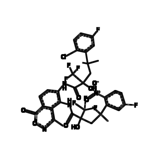 Cc1noc(=O)c2ccc(NC(=O)C(O)(CC(C)(C)c3cc(F)ccc3Cl)C(F)(F)F)c(NC(=O)C(O)(CC(C)(C)c3cc(F)ccc3[N+](=O)[O-])C(F)(F)F)c12